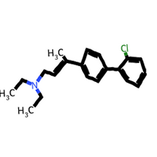 CCN(CC)CC=C(C)c1ccc(-c2ccccc2Cl)cc1